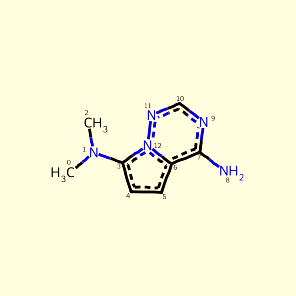 CN(C)c1ccc2c(N)ncnn12